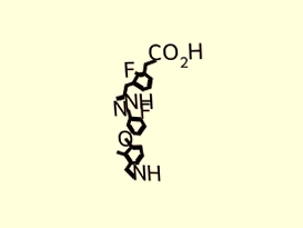 Cc1c(Oc2ccc(F)c(-c3ncc(Cc4cccc(CCC(=O)O)c4F)[nH]3)c2)ccc2[nH]ccc12